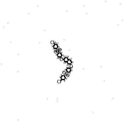 O=S(=O)(c1ccc(Cl)cc1)c1ccc(Oc2ccc3ccc(Oc4ccc(S(=O)(=O)c5ccc(Cl)cc5)cc4)cc3c2)cc1